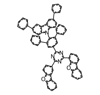 c1ccc(-c2ccc3c(c2)c2cc(-c4ccccc4)ccc2n3-c2c(-c3ccccc3)cc(-c3nc(-c4ccc5oc6ccccc6c5c4)nc(-c4cccc5c4oc4ccccc45)n3)cc2-c2ccccc2)cc1